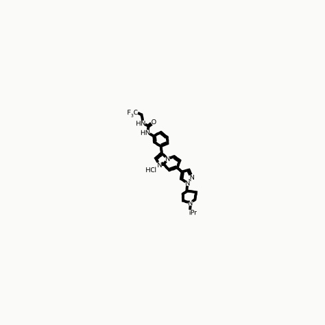 CC(C)N1CCC(n2cc(-c3ccn4c(-c5cccc(NC(=O)NCC(F)(F)F)c5)cnc4c3)cn2)CC1.Cl